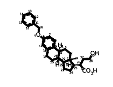 C[C@]12CC[C@@H]3c4ccc(OCc5ccccc5)cc4CC[C@H]3[C@@H]1CC[C@@H]2C(CCO)C(=O)O